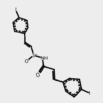 O=C(C=Cc1ccc(I)cc1)N[S+]([O-])C=Cc1ccc(I)cc1